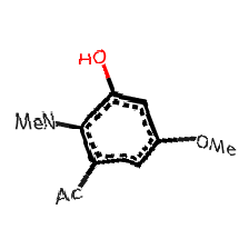 CNc1c(O)cc(OC)cc1C(C)=O